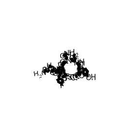 CC[C@H](C)[C@@H]1NC(=O)[C@H](Cc2ccc(O)cc2)NC(=O)CCCSC[C@@H](C(=O)N(CC(=O)N[C@@H](CC(C)C)C(=O)NCC(N)=O)Cc2ccc(F)cc2)NN[C@@H](CC(N)=O)C(=O)C(=O)[C@H](CCC(N)=O)NC1=O